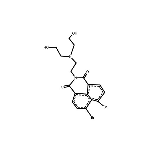 O=C1c2ccc(Br)c3c(Br)ccc(c23)C(=O)N1CCN(CCO)CCO